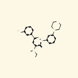 CCN(C)c1cc(-c2cccc(OC)c2)nn(-c2cccc(N3CCOCC3)c2)c1=O